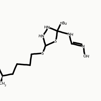 CCCCC1(N/C=N/O)NNC(SCCCC[C@@H](C)I)S1